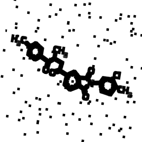 Cc1ccc(C(=O)C(C)CC(=O)c2ccc3c(c2)C(=O)N(c2ccc(C)c(Cl)c2)C3=O)cc1